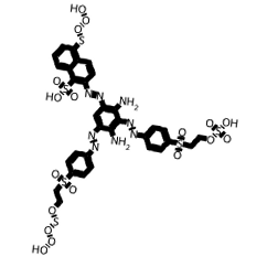 Nc1c(/N=N/c2ccc(S(=O)(=O)CCOSOOO)cc2)cc(/N=N/c2ccc3c(SOOO)cccc3c2S(=O)(=O)O)c(N)c1/N=N/c1ccc(S(=O)(=O)CCOS(=O)(=O)O)cc1